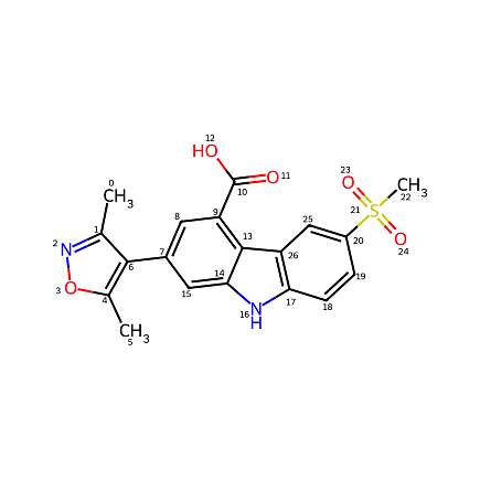 Cc1noc(C)c1-c1cc(C(=O)O)c2c(c1)[nH]c1ccc(S(C)(=O)=O)cc12